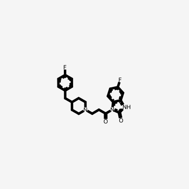 O=C(CCN1CCC(Cc2ccc(F)cc2)CC1)n1c(=O)[nH]c2cc(F)ccc21